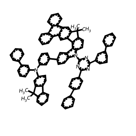 CC1(C)c2ccccc2-c2ccc(N(c3cccc(-c4ccccc4)c3)c3cccc(-c4ccc5c(c4)c4c6c(ccc4n5-c4nc(-c5ccc(-c7ccccc7)cc5)nc(-c5cccc(-c7ccccc7)c5)n4)C(C)(C)c4cc5c7ccccc7c7ccccc7c5cc4-6)c3)cc21